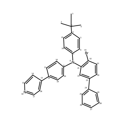 CC(C)(C)c1ccc(N(c2ccc(-c3ccncc3)cc2)c2cc(-c3ccccc3)ccc2Br)cc1